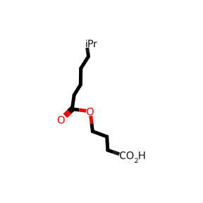 CC(C)CCCCC(=O)OCCCC(=O)O